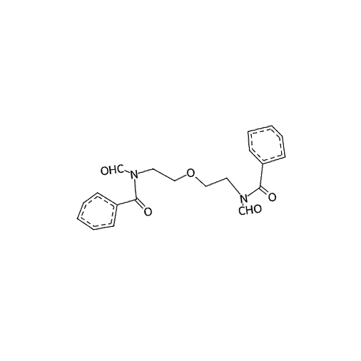 O=CN(CCOCCN(C=O)C(=O)c1ccccc1)C(=O)c1ccccc1